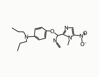 C=NC(Oc1ccc(N(CCC)CCC)cc1)c1ncc([N+](=O)[O-])n1C